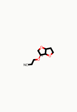 N#CCCO[C@H]1COC2CCOC21